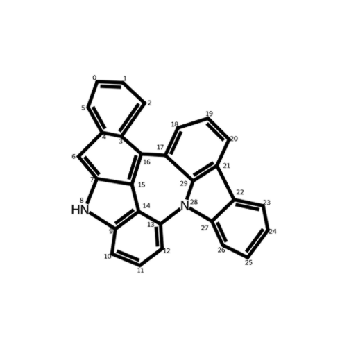 c1ccc2c(c1)cc1[nH]c3cccc4c3c1c2c1cccc2c3ccccc3n4c21